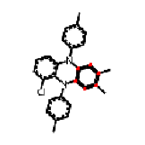 Cc1ccc(N(c2ccc(C)cc2)c2cccc(Cl)c2N(c2ccc(C)cc2)c2ccc(C)cc2)cc1